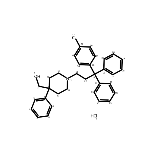 Cl.OCC1(c2ccccc2)CCN(CCC(c2ccccc2)(c2ccccc2)c2ccc(Cl)cc2)CC1